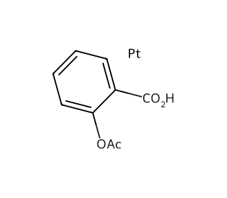 CC(=O)Oc1ccccc1C(=O)O.[Pt]